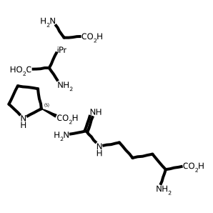 CC(C)C(N)C(=O)O.N=C(N)NCCCC(N)C(=O)O.NCC(=O)O.O=C(O)[C@@H]1CCCN1